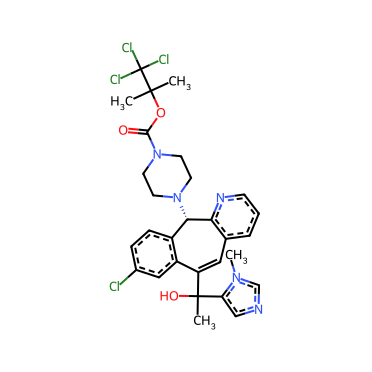 Cn1cncc1C(C)(O)C1=Cc2cccnc2[C@@H](N2CCN(C(=O)OC(C)(C)C(Cl)(Cl)Cl)CC2)c2ccc(Cl)cc21